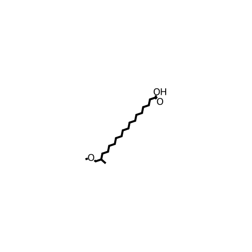 COCC(C)CCCCCCCCCCCCCCCC(=O)O